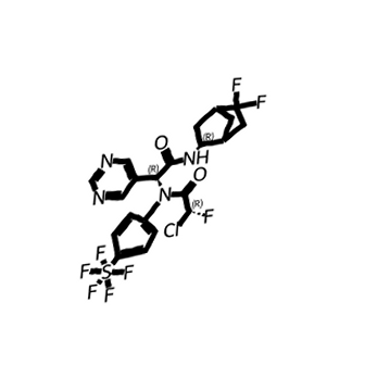 O=C(N[C@@H]1CC2CC1CC2(F)F)[C@@H](c1cncnc1)N(C(=O)[C@H](F)Cl)c1ccc(S(F)(F)(F)(F)F)cc1